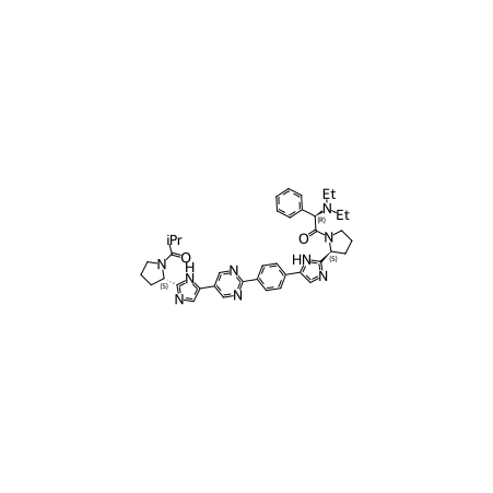 CCN(CC)[C@@H](C(=O)N1CCC[C@H]1c1ncc(-c2ccc(-c3ncc(-c4cnc([C@@H]5CCCN5C(=O)C(C)C)[nH]4)cn3)cc2)[nH]1)c1ccccc1